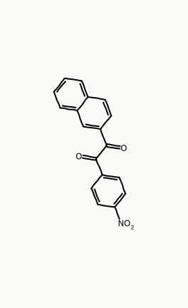 O=C(C(=O)c1ccc2ccccc2c1)c1ccc([N+](=O)[O-])cc1